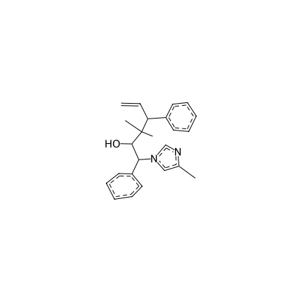 C=CC(c1ccccc1)C(C)(C)C(O)C(c1ccccc1)n1cnc(C)c1